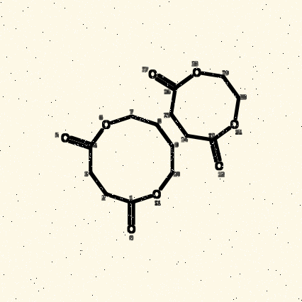 O=C1CCC(=O)OCCCCO1.O=C1CCC(=O)OCCO1